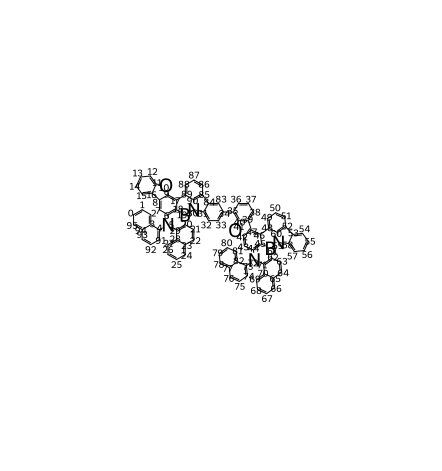 c1ccc2c(N3c4cc5c(oc6ccccc65)c5c4B(c4ccc6ccccc6c43)n3c4ccc(-c6cccc7c6oc6cc8c9c(c67)-c6cccc7c%10ccccc%10n(c67)B9c6ccc7ccccc7c6N8c6cccc7ccccc67)cc4c4cccc-5c43)cccc2c1